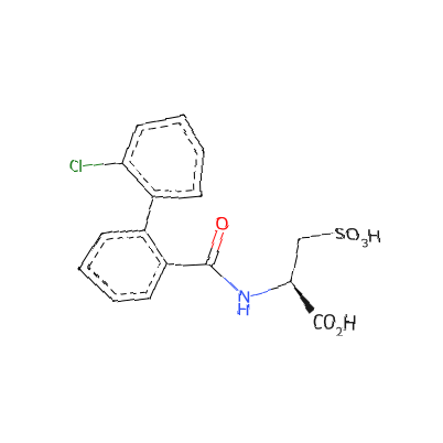 O=C(N[C@@H](CS(=O)(=O)O)C(=O)O)c1ccccc1-c1ccccc1Cl